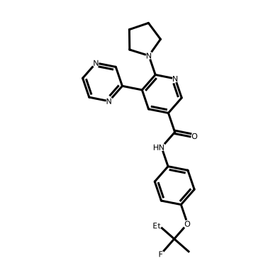 CCC(C)(F)Oc1ccc(NC(=O)c2cnc(N3CCCC3)c(-c3cnccn3)c2)cc1